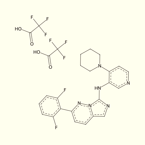 Fc1cccc(F)c1-c1ccc2cnc(Nc3cnccc3N3CCCCC3)n2n1.O=C(O)C(F)(F)F.O=C(O)C(F)(F)F